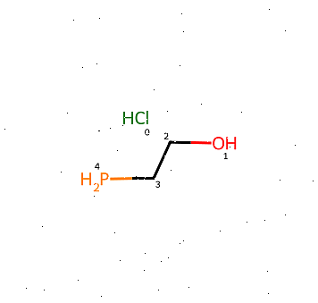 Cl.OCCP